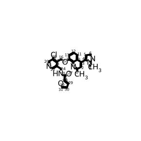 Cc1cc(-c2ccnn2C)c2cccc(OCc3c(Cl)cncc3CNC(=O)c3ccco3)c2n1